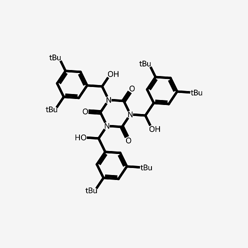 CC(C)(C)c1cc(C(O)n2c(=O)n(C(O)c3cc(C(C)(C)C)cc(C(C)(C)C)c3)c(=O)n(C(O)c3cc(C(C)(C)C)cc(C(C)(C)C)c3)c2=O)cc(C(C)(C)C)c1